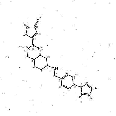 C[C@@H](CC1CCC(NCc2ccc(-n3cnnn3)nn2)CC1)N(N=O)C1=CC(=O)OC1